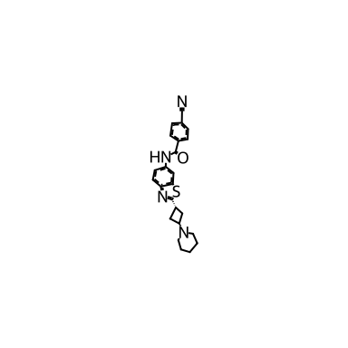 N#Cc1ccc(C(=O)Nc2ccc3nc([C@H]4C[C@H](N5CCCCC5)C4)sc3c2)cc1